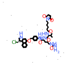 CC(C)C(NC(=O)CCCCCN1C(=O)C=CC1=O)C(=O)NC(CCCNC(N)=O)C(=O)Nc1ccc(COc2cc3c(c4ccccc24)[C@H](CCl)CN3)cc1